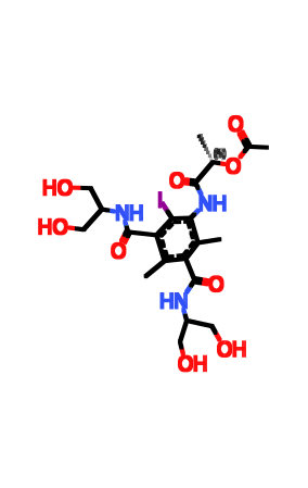 CC(=O)O[C@@H](C)C(=O)Nc1c(C)c(C(=O)NC(CO)CO)c(C)c(C(=O)NC(CO)CO)c1I